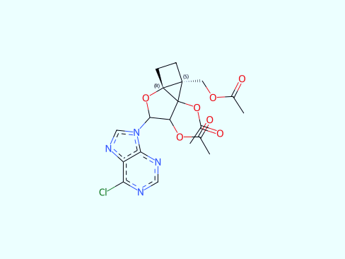 CC(=O)OC[C@@]12CC[C@@]13OC(n1cnc4c(Cl)ncnc41)C(OC(C)=O)C23OC(C)=O